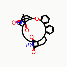 O=C1NC(=O)C23CC4CCC12CC3CCCCC1CC23CCC(CC12C(=O)NC3=O)c1ccccc1-c1ccccc1O4